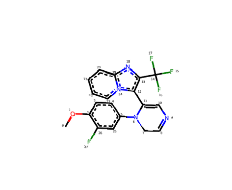 COc1ccc(N2CC=NC=C2c2c(C(F)(F)F)nc3ccccn23)cc1F